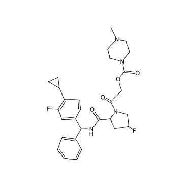 CN1CCN(C(=O)OCC(=O)N2CC(F)CC2C(=O)NC(c2ccccc2)c2ccc(C3CC3)c(F)c2)CC1